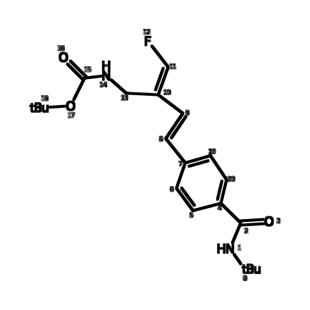 CC(C)(C)NC(=O)c1ccc(C=CC(=CF)CNC(=O)OC(C)(C)C)cc1